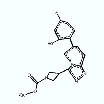 CC(C)(C)OC(=O)N1CC(c2nnc3ccc(-c4ccc(F)cc4O)cn23)C1